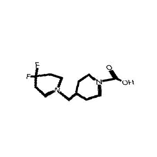 O=C(O)N1CCC(CN2CCC(F)(F)CC2)CC1